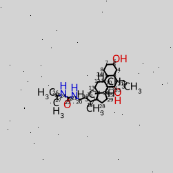 CC[C@@H]1C2C[C@H](O)CCC2(C)[C@H]2CCC3(C)C([C@H](C)CCNC(=O)NC(C)C)CC[C@H]3C2[C@@H]1O